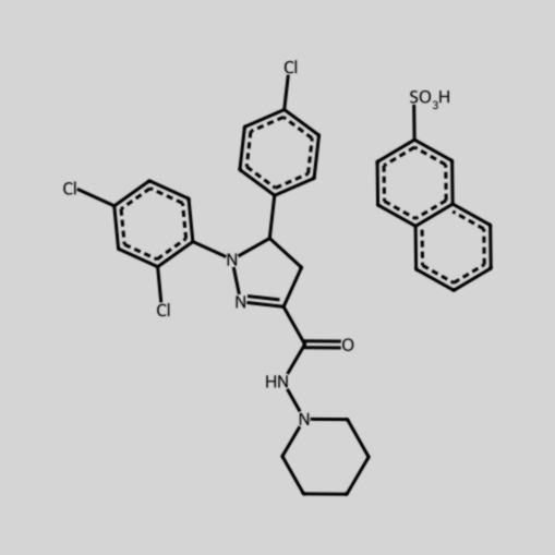 O=C(NN1CCCCC1)C1=NN(c2ccc(Cl)cc2Cl)C(c2ccc(Cl)cc2)C1.O=S(=O)(O)c1ccc2ccccc2c1